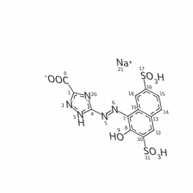 O=C([O-])c1n[nH]c(/N=N/c2c(O)c(S(=O)(=O)O)cc3ccc(S(=O)(=O)O)cc23)n1.[Na+]